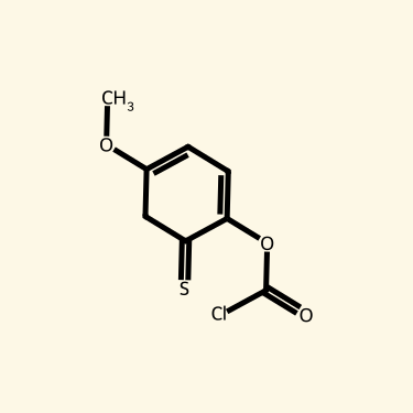 COC1=CC=C(OC(=O)Cl)C(=S)C1